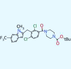 Cn1c(Cc2c(Cl)ccc(C(=O)N3CCN(C(=O)OC(C)(C)C)CC3)c2Cl)cc2ccc(C(F)(F)F)cc21